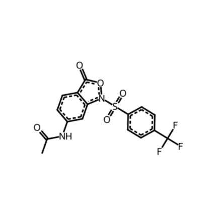 CC(=O)Nc1ccc2c(=O)on(S(=O)(=O)c3ccc(C(F)(F)F)cc3)c2c1